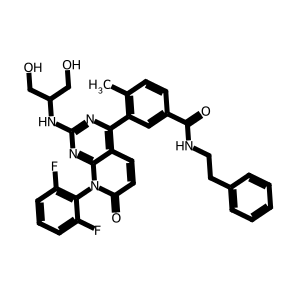 Cc1ccc(C(=O)NCCc2ccccc2)cc1-c1nc(NC(CO)CO)nc2c1ccc(=O)n2-c1c(F)cccc1F